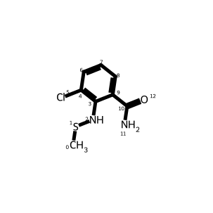 CSNc1c(Cl)cccc1C(N)=O